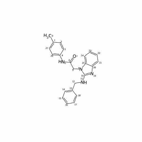 Cc1ccc(NC(=O)Cn2c(NCc3ccccc3)nc3ccccc32)cc1